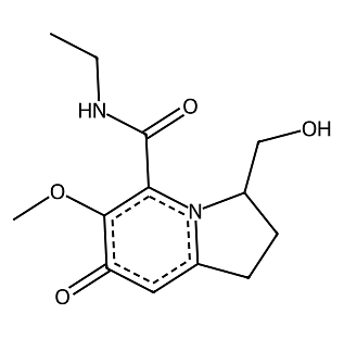 CCNC(=O)c1c(OC)c(=O)cc2n1C(CO)CC2